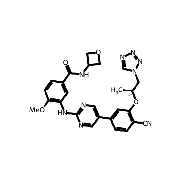 COc1ccc(C(=O)NC2COC2)cc1Nc1ncc(-c2ccc(C#N)c(O[C@@H](C)Cn3cnnn3)c2)cn1